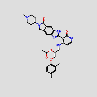 CC(=O)OC(CNc1cc[nH]c(=O)c1-c1nc2cc3c(cc2[nH]1)C(=O)N(C1CCN(C)CC1)C3)COc1ccc(C)cc1C